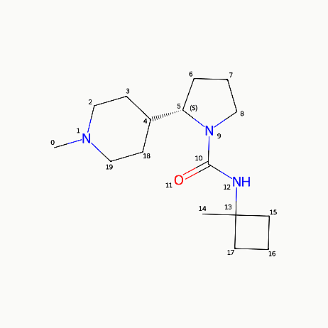 CN1CCC([C@@H]2CCCN2C(=O)NC2(C)CCC2)CC1